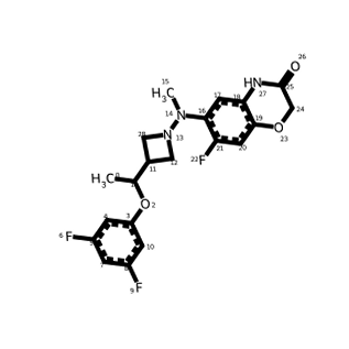 CC(Oc1cc(F)cc(F)c1)C1CN(N(C)c2cc3c(cc2F)OCC(=O)N3)C1